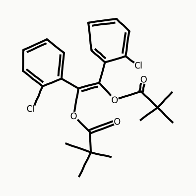 CC(C)(C)C(=O)OC(=C(OC(=O)C(C)(C)C)c1ccccc1Cl)c1ccccc1Cl